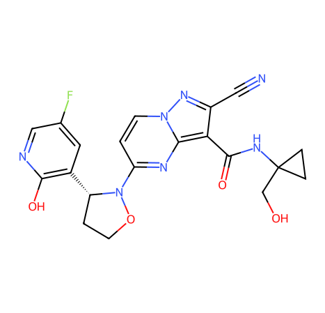 N#Cc1nn2ccc(N3OCC[C@@H]3c3cc(F)cnc3O)nc2c1C(=O)NC1(CO)CC1